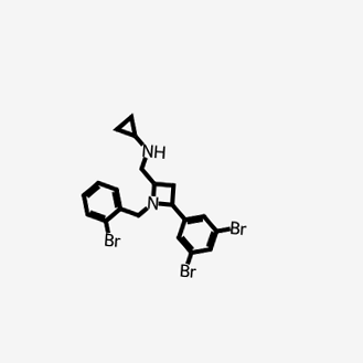 Brc1cc(Br)cc(C2CC(CNC3CC3)N2Cc2ccccc2Br)c1